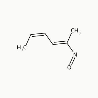 C/C=C\C=C(/C)N=O